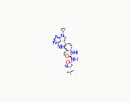 CC(C)(C)c1cc(NC(=O)Nc2ccc(-c3cn(C4CC4)c4ncnc(N)c34)cc2F)on1